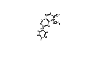 Cn1c(=O)ccc2ccc(-c3ccccc3)cc21